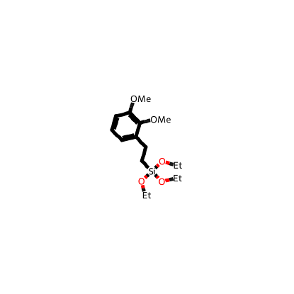 CCO[Si](CCc1cccc(OC)c1OC)(OCC)OCC